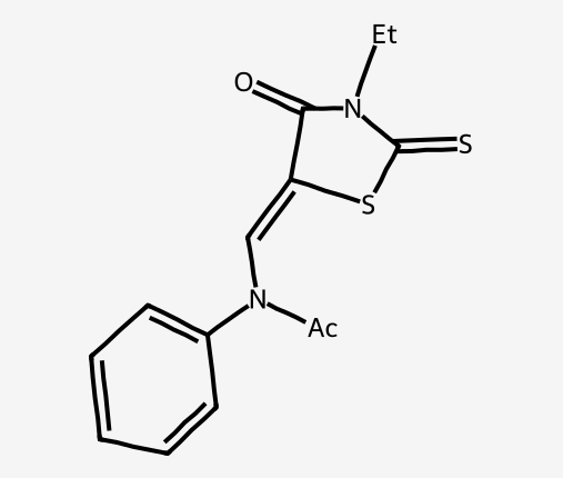 CCN1C(=O)C(=CN(C(C)=O)c2ccccc2)SC1=S